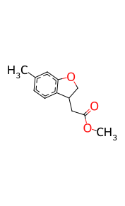 COC(=O)CC1COc2cc(C)ccc21